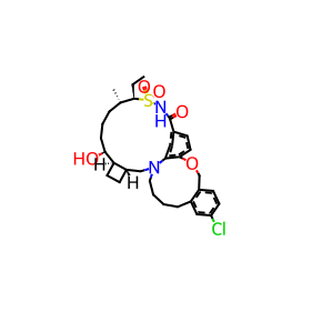 CC[C@@H]1[C@@H](C)CCC[C@H](O)[C@@H]2CC[C@H]2CN2CCCCc3cc(Cl)ccc3COc3ccc(cc32)C(=O)NS1(=O)=O